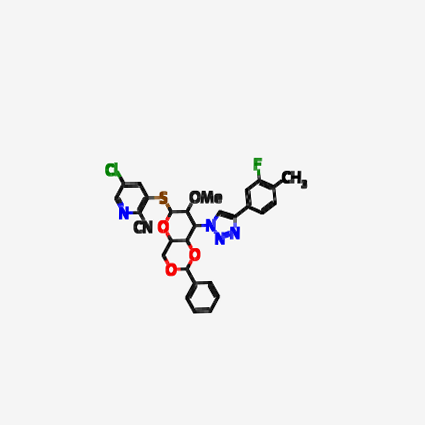 COC1C(Sc2cc(Cl)cnc2C#N)OC2COC(c3ccccc3)OC2C1n1cc(-c2ccc(C)c(F)c2)nn1